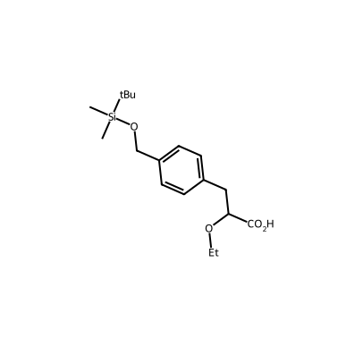 CCOC(Cc1ccc(CO[Si](C)(C)C(C)(C)C)cc1)C(=O)O